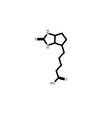 O=C(O)CCCCC1CCC2NC(=O)NC12